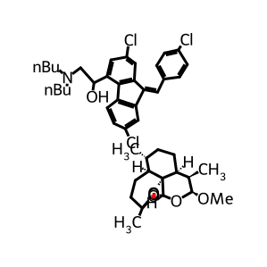 CCCCN(CCCC)CC(O)c1cc(Cl)cc2c1-c1ccc(Cl)cc1/C2=C/c1ccc(Cl)cc1.CO[C@H]1O[C@@H]2OC3(C)CC[C@H]4[C@H](C)CC[C@@H]([C@H]1C)[C@@]24OO3